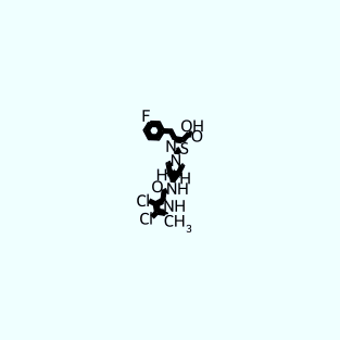 Cc1[nH]c(C(=O)NC2[C@H]3CN(c4nc(Cc5cccc(F)c5)c(C(=O)O)s4)C[C@@H]23)c(Cl)c1Cl